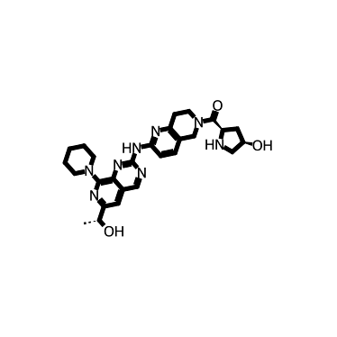 C[C@@H](O)c1cc2cnc(Nc3ccc4c(n3)CCN(C(=O)[C@H]3C[C@@H](O)CN3)C4)nc2c(N2CCCCC2)n1